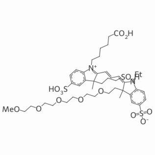 CCN1/C(=C/C=C/C2=[N+](CCCCCC(=O)O)c3ccc(S(=O)(=O)O)cc3C2(C)CCCS(=O)(=O)O)C(C)(CCOCCOCCOCCOCCOC)c2cc(S(=O)(=O)[O-])ccc21